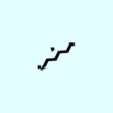 CCCCCO.[V]